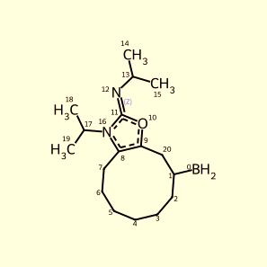 BC1CCCCCCc2c(o/c(=N\C(C)C)n2C(C)C)C1